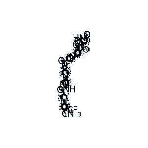 N#Cc1ccc(N2CCC(C(=O)Nc3ccc(N4CCC5(CC4)CN(C(=O)C4CCN(c6ccc7c(c6)C(=O)N(C6CCC(=O)NC6=O)C7=O)CC4)C5)cn3)CC2)cc1C(F)(F)F